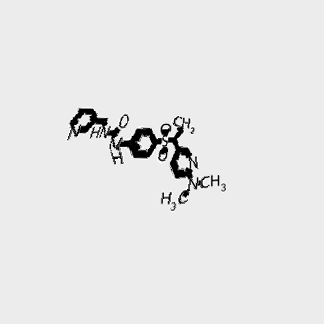 C=CC(c1ccc(N(C)C)nc1)S(=O)(=O)c1ccc(NC(=O)NCc2cccnc2)cc1